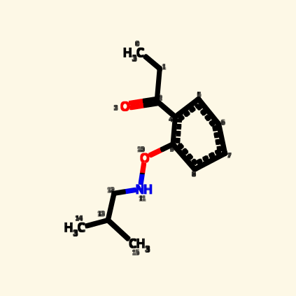 CCC(=O)c1ccccc1ONCC(C)C